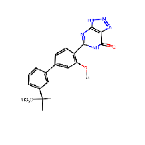 CCOc1cc(-c2cccc(C(C)(C)C(=O)O)c2)ccc1-c1nc2[nH]nnc2c(=O)[nH]1